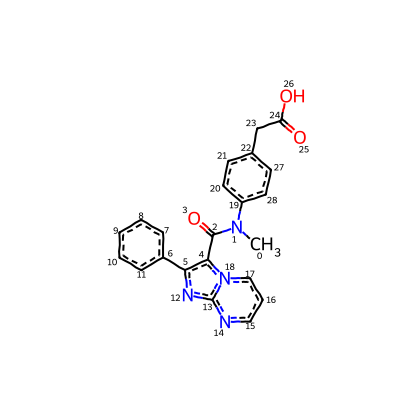 CN(C(=O)c1c(-c2ccccc2)nc2ncccn12)c1ccc(CC(=O)O)cc1